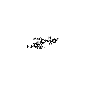 COc1cc(N)c(Cl)cc1C(=O)N[C@H]1CCN(CCNC(=O)c2ccc(F)cc2)C[C@H]1OC